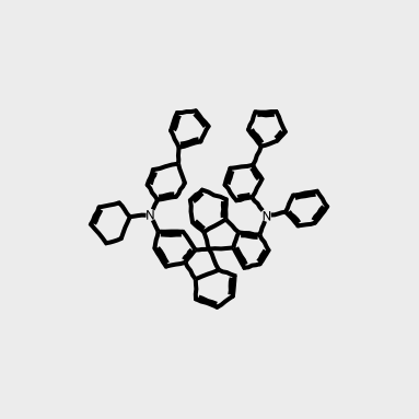 C1=CC2c3ccc(N(C4=CCC(c5ccccc5)C=C4)C4CC=CCC4)cc3C3(c4ccccc4-c4c(N(c5ccccc5)c5cccc(-c6ccccc6)c5)cccc43)C2C=C1